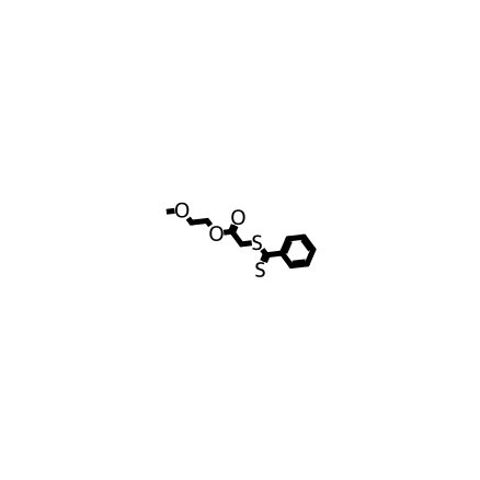 COCCOC(=O)CSC(=S)c1ccccc1